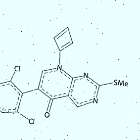 CSc1ncc2c(=O)c(-c3c(Cl)cccc3Cl)cn(C3=CC=C3)c2n1